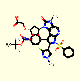 Cn1cc(-c2c(-c3ccc(N)cc3)c3c(ncc4c3n([C@H]3C[C@H](NC(=O)OC(C)(C)C)[C@H](OCC(=O)O)C3)c(=O)n4C)n2S(=O)(=O)c2ccccc2)c(F)n1